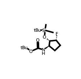 CC(C)(C)OC(=O)N[C@@H]1CC[C@@H](F)[C@H]1O[Si](C)(C)C(C)(C)C